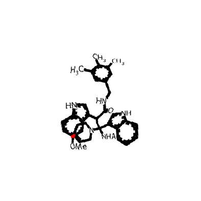 COc1ccc2[nH]cc(C(C(=O)NCc3cc(C)c(C)c(C)c3)C(NC(C)=O)(c3c[nH]c4ccccc34)N3CC=CCC3)c2c1